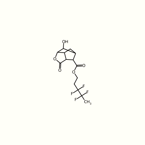 CC(F)(F)C(F)(F)CCOC(=O)C1C2CC3C(OC(=O)C31)C2O